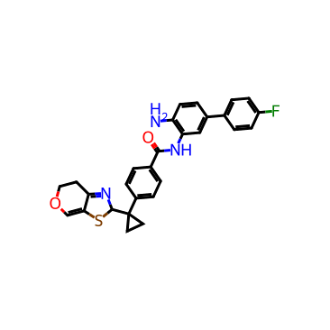 Nc1ccc(-c2ccc(F)cc2)cc1NC(=O)c1ccc(C2(C3N=C4CCOC=C4S3)CC2)cc1